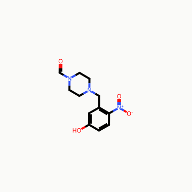 O=CN1CCN(Cc2cc(O)ccc2[N+](=O)[O-])CC1